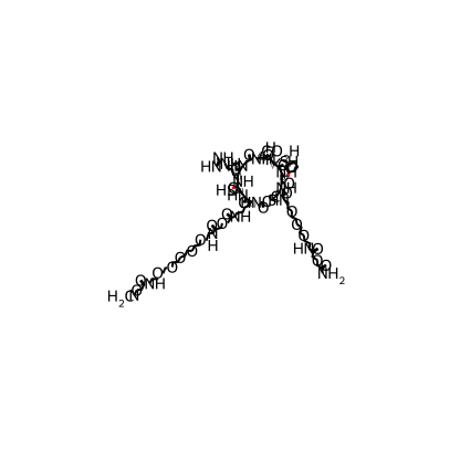 C=NOCC(=O)NCCOCCOCCOCCOCCOCCNC(=O)COCC(=O)NCCCC[C@@H]1NC(=O)CSC[C@@H](C(=O)NCCOCCOCCOCCNC(=O)COCC(N)=O)NC(=O)[C@H](Cc2ccccc2)NC(=O)[C@H](CS)NC(=O)[C@H](CC(=O)O)NC(=O)CNC(=O)[C@H](CCCNC(=N)N)NC(=O)[C@H](CS)NC1=O